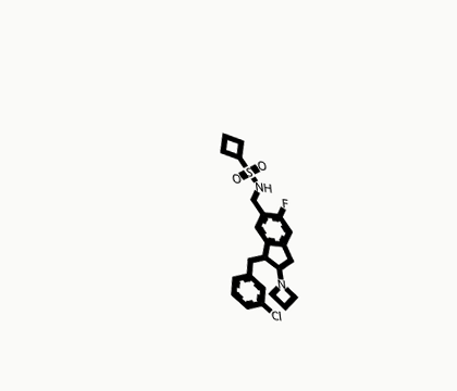 O=S(=O)(NCc1cc2c(cc1F)CC(N1CCC1)C2Cc1cccc(Cl)c1)C1CCC1